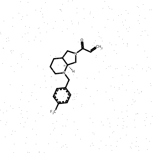 C=CC(=O)N1CC2CCCN(Cc3ccc(C(F)(F)F)cc3)[C@@H]2C1